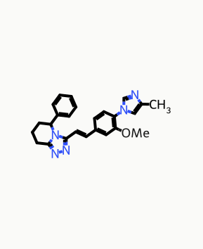 COc1cc(C=Cc2nnc3n2C(c2ccccc2)CCC3)ccc1-n1cnc(C)c1